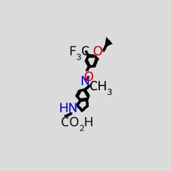 C/C(=N\OCc1ccc(OCC2CC2)c(C(F)(F)F)c1)c1ccc2c(c1)CCC2NCCC(=O)O